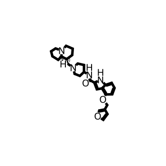 O=C(NC1CCN(C[C@@H]2CCCN3CCCC[C@H]23)CC1)c1cc2c(OCc3ccoc3)cccc2[nH]1